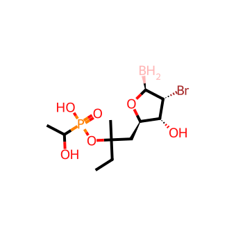 B[C@@H]1O[C@H](CC(C)(CC)OP(=O)(O)C(C)O)[C@@H](O)[C@H]1Br